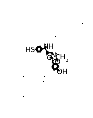 CCN(CC1=CC1C(=N)c1ccc(S)cc1)C(=O)C(C=O)Cc1ccc(O)cc1